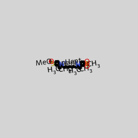 CCCCCCCN1C(=CC=CC=CC=CC2=[N+](CCCCCCC)c3ccc(SOOC)cc3C2(C)C)C(C)(C)c2cc(S(C)(=O)=O)ccc21